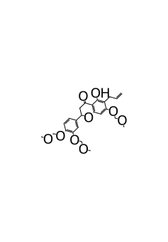 C=CCc1c(OCOC)cc2c(c1O)C(=O)CC(c1ccc(OCOC)c(OCOC)c1)O2